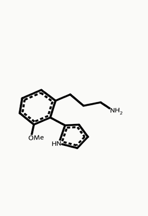 COc1cccc(CCCN)c1-c1ccc[nH]1